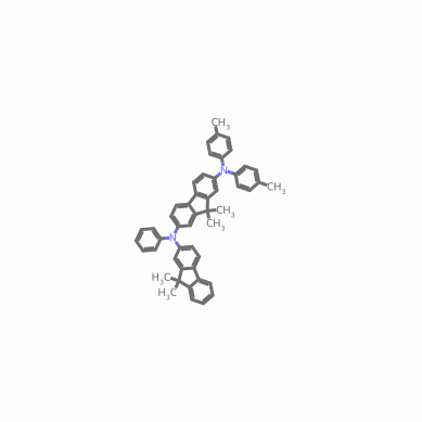 Cc1ccc(N(c2ccc(C)cc2)c2ccc3c(c2)C(C)(C)c2cc(N(c4ccccc4)c4ccc5c(c4)C(C)(C)c4ccccc4-5)ccc2-3)cc1